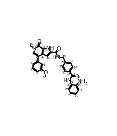 COc1cccc(-c2cn(C)c(=O)c3[nH]c(C(=O)NCc4ccc(C(=O)Nc5ccccc5N)cc4)cc23)c1